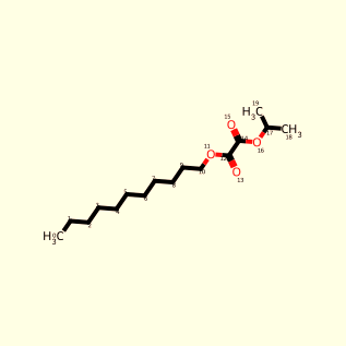 CCCCCCCCCCCOC(=O)C(=O)OC(C)C